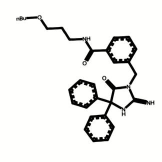 CCCCOCCCNC(=O)c1cccc(CN2C(=N)NC(c3ccccc3)(c3ccccc3)C2=O)c1